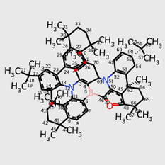 CC1=CC2=C3B(c4ccc5c(c4N2c2c(C)cc(C(C)(C)C)cc2-c2ccc4c(c2)C(C)(C)CCC4(C)C)C(C)(C)CCC5(C)C)c2oc4c5c2N(C2=C(C[C@@H](C(C)(C)C)C=C2)[C@@]5(C)CCC4(C)C)C3C1